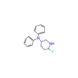 FC1CCC(N(c2ccccc2)c2ccccc2)CN1